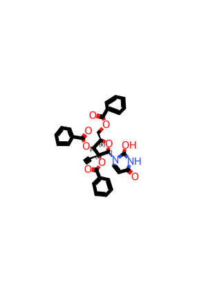 C#C[C@@]1(OC(=O)c2ccccc2)[C@H](OC(=O)c2ccccc2)[C@@H](COC(=O)c2ccccc2)O[C@H]1N1C=CC(=O)NC1O